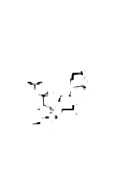 CCS[P@](=O)(N[C@@H](C)C(=O)OC(C)C)OC[C@H](C)O[C@H](CC)n1ccc(=O)[nH]c1=O